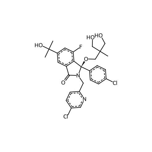 CC(CO)(CO)CO[C@]1(c2ccc(Cl)cc2)c2c(F)cc(C(C)(C)O)cc2C(=O)N1Cc1ccc(Cl)cn1